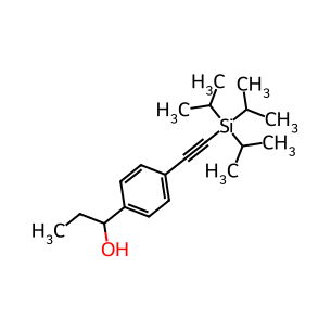 CCC(O)c1ccc(C#C[Si](C(C)C)(C(C)C)C(C)C)cc1